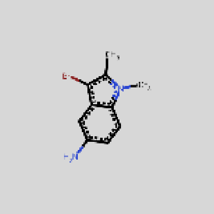 Cc1c(Br)c2cc(N)ccc2n1C(F)(F)F